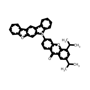 CC(C)c1cc(C(C)C)c2oc3cc(-n4c5ccccc5c5cc6c(cc54)oc4ccccc46)ccc3c(=O)c2c1